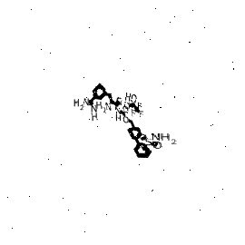 N=C(N)c1cccc(C[C@H](N)C(=O)NC(=O)OCc2ccc(-c3ccccc3S(N)(=O)=O)cc2)c1.O=C(O)C(F)(F)F